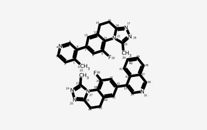 Cc1ccncc1-c1cc(F)c2c(c1)CCc1nnc(C)n1-2.Cc1nnc2n1-c1c(F)cc(-c3cncc4ccccc34)cc1CC2